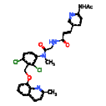 CC(=O)Nc1ccc(C=CC(=O)NCC(=O)N(C)c2ccc(Cl)c(COc3cccc4ccc(C)nc34)c2Cl)cn1